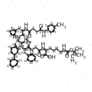 Cc1ccc(NC(=O)CCC(=O)N[C@H](Cc2cccs2)C(=O)N[C@@H](Cc2ccc(-c3ccccc3)cc2)C(=O)N[C@H](Cc2ccccc2)C(=O)NCC(=O)N[C@@H](CCCCNC(=O)OC(C)(C)C)C(=O)O)cc1